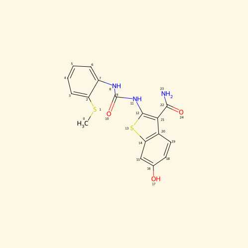 CSc1ccccc1NC(=O)Nc1sc2cc(O)ccc2c1C(N)=O